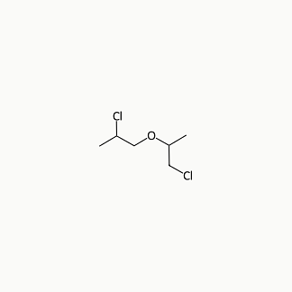 CC(Cl)COC(C)CCl